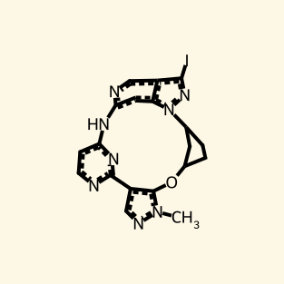 Cn1ncc2c1OC1CCC(C1)n1nc(I)c3cnc(cc31)Nc1ccnc-2n1